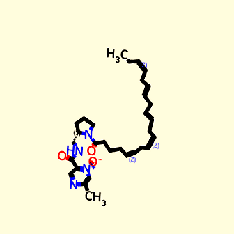 CC/C=C\CC=CCC=CC/C=C\C/C=C\CCCC(=O)N1CCC[C@H]1CNC(=O)c1cnc(C)c[n+]1[O-]